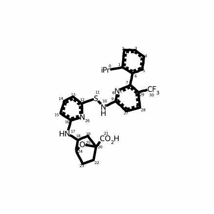 CC(C)c1ccccc1-c1nc(NSc2cccc(NC3CC4(C(=O)O)CCC3O4)n2)ccc1C(F)(F)F